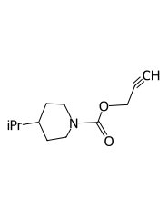 C#CCOC(=O)N1CCC(C(C)C)CC1